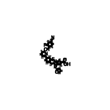 N#Cc1ccc(COc2cccc(-c3ccc(Cc4nc5sc(C(=O)O)cc5n4C[C@@H]4CCCO4)c(F)c3)n2)c(F)c1